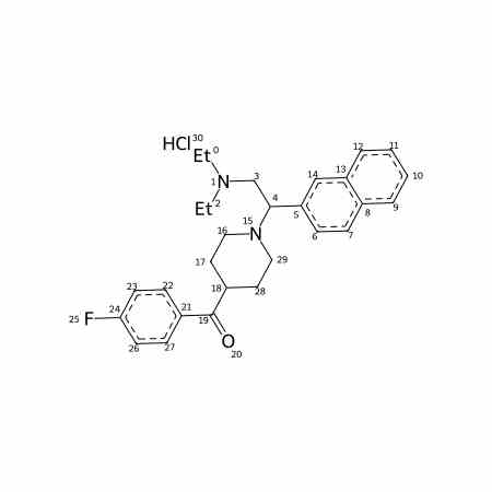 CCN(CC)CC(c1ccc2ccccc2c1)N1CCC(C(=O)c2ccc(F)cc2)CC1.Cl